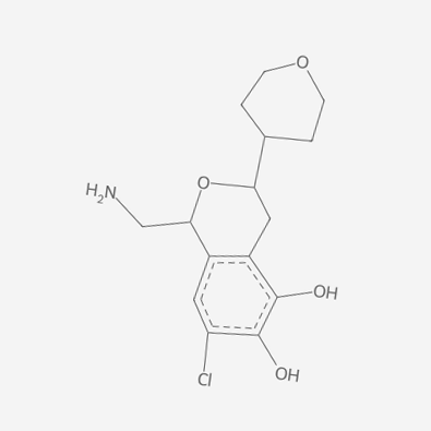 NCC1OC(C2CCOCC2)Cc2c1cc(Cl)c(O)c2O